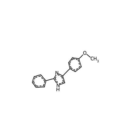 COc1ccc(-c2c[nH]c(-c3ccccc3)n2)cc1